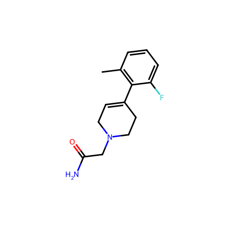 Cc1cccc(F)c1C1=CCN(CC(N)=O)CC1